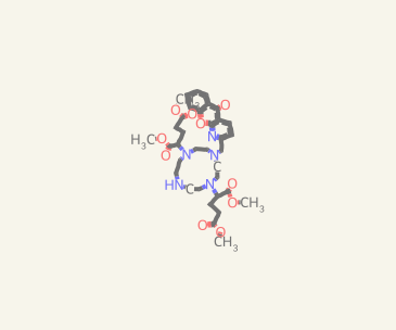 COC(=O)CCC(C(=O)OC)N1CCNCCN(C(CCC(=O)OC)C(=O)OC)CCN(Cc2ccc3c(=O)c4ccccc4oc3n2)CC1